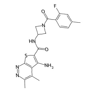 Cc1ccc(C(=O)N2CC(NC(=O)c3sc4nnc(C)c(C)c4c3N)C2)c(F)c1